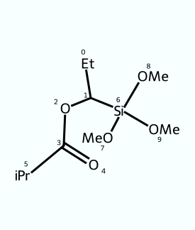 CCC(OC(=O)C(C)C)[Si](OC)(OC)OC